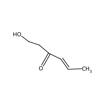 C/C=C/C(=O)CCO